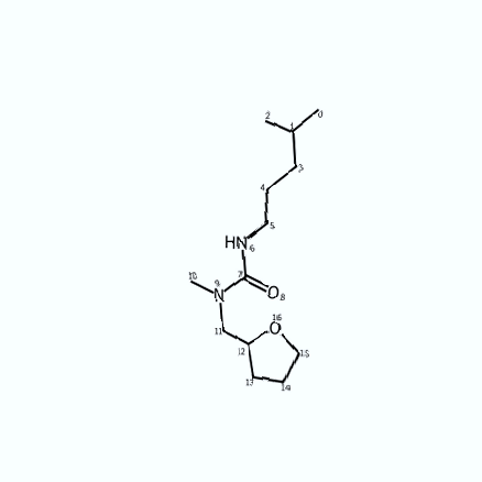 CC(C)CCCNC(=O)N(C)CC1CCCO1